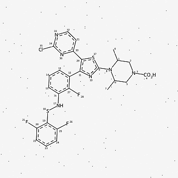 CC1CN(C(=O)O)CC(C)N1c1nc(-c2cccc(NSc3c(F)cccc3F)c2F)c(-c2ccnc(Cl)n2)s1